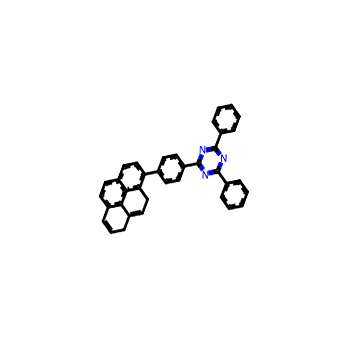 C1=Cc2ccc3ccc(-c4ccc(-c5nc(-c6ccccc6)nc(-c6ccccc6)n5)cc4)c4c3c2C(=CC4)C1